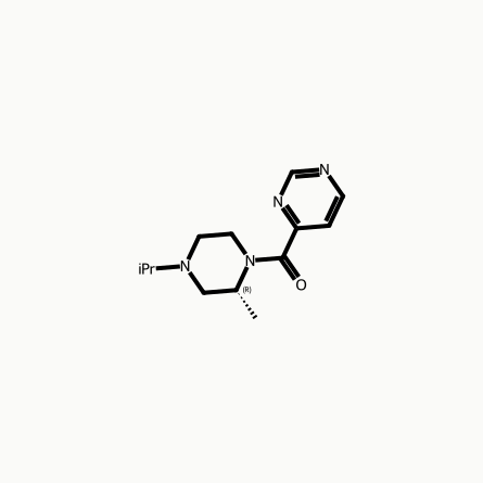 CC(C)N1CCN(C(=O)c2ccncn2)[C@H](C)C1